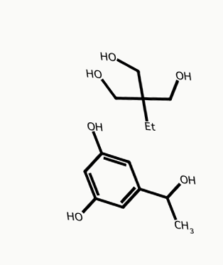 CC(O)c1cc(O)cc(O)c1.CCC(CO)(CO)CO